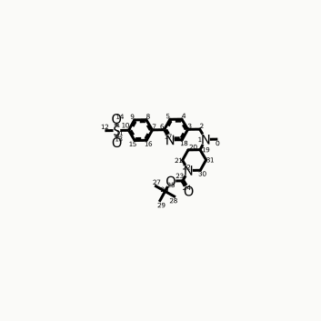 CN(Cc1ccc(-c2ccc(S(C)(=O)=O)cc2)nc1)C1CCN(C(=O)OC(C)(C)C)CC1